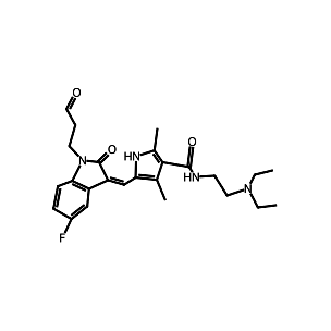 CCN(CC)CCNC(=O)c1c(C)[nH]c(/C=C2\C(=O)N(CCC=O)c3ccc(F)cc32)c1C